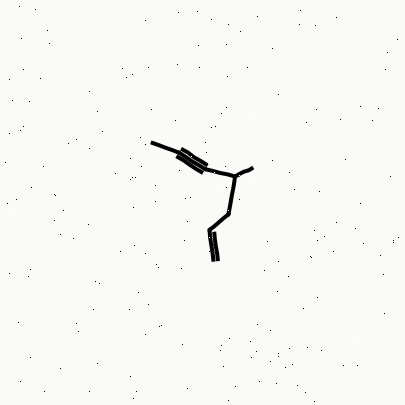 C=CC[C](C)C#CC